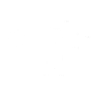 CCOC(=O)C(OC(C)(C)C)c1c(C)sc(CCc2ccccc2)c1C1=CCC(C)(C)CC1